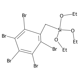 CCO[Si](Cc1c(Br)c(Br)c(Br)c(Br)c1Br)(OCC)OCC